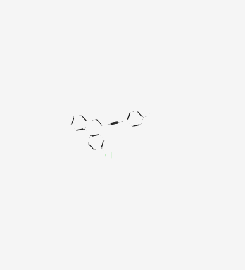 O=C(O)c1ccc(C#CC=Cc2ccccc2-c2ccc(Cl)cc2)cc1